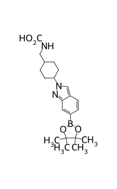 CC1(C)OB(c2ccc3cn(C4CCC(CNC(=O)O)CC4)nc3c2)OC1(C)C